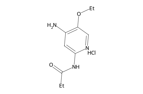 CCOc1cnc(NC(=O)CC)cc1N.Cl